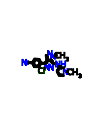 CN1CCC[C@@H](Nc2nnc(-c3ccc(C#N)cc3Cl)c3cnn(C)c23)C1